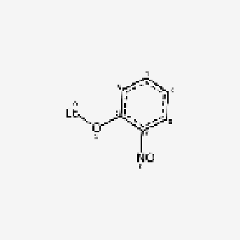 CCOc1ccccc1N=O